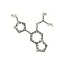 CC(C#N)Oc1cn2ccnc2cc1-c1cnn(C)c1